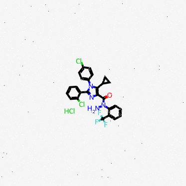 Cl.NN(C(=O)c1nc(-c2ccccc2Cl)n(-c2ccc(Cl)cc2)c1C1CC1)c1ccccc1C(F)(F)F